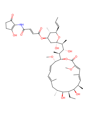 C/C=C/[C@H]1O[C@@](O)([C@@H](C)[C@H](O)[C@H](C)[C@H]2OC(=O)/C(OC)=C/C(C)=C/[C@@H](C)[C@@H](O)[C@@H](CC)[C@@H](O)[C@H](C)C/C(C)=C/C=C/[C@@H]2OC)C[C@@H](OC(=O)/C=C/C(=O)NC2=C(O)CCC2=O)[C@@H]1C